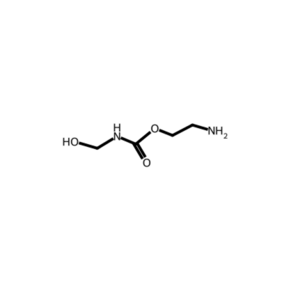 NCCOC(=O)NCO